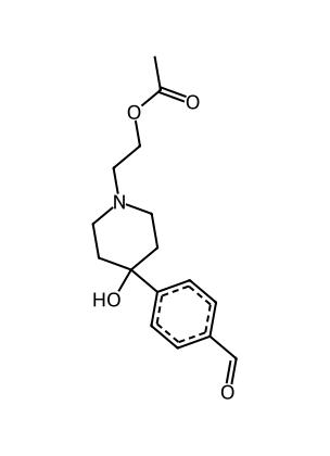 CC(=O)OCCN1CCC(O)(c2ccc(C=O)cc2)CC1